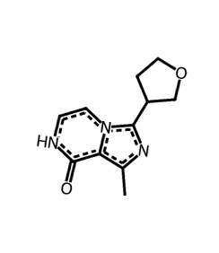 Cc1nc(C2CCOC2)n2cc[nH]c(=O)c12